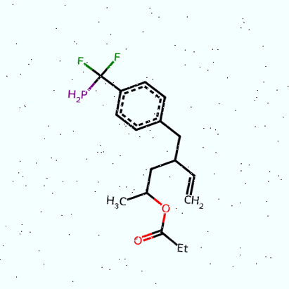 C=CC(Cc1ccc(C(F)(F)P)cc1)CC(C)OC(=O)CC